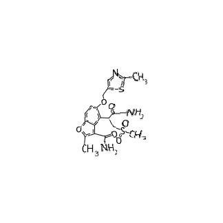 Cc1ncc(COc2ccc3oc(C)c(C(N)=O)c3c2C(CS(C)(=O)=O)C(N)=O)s1